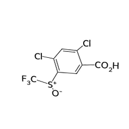 O=C(O)c1cc([S+]([O-])C(F)(F)F)c(Cl)cc1Cl